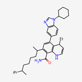 CCC1C=CNc2c(C(N)=O)c(C(C)CCCCC(C)C(C)C)cc(-c3ccc4c(c3)ncn4C3CCCCC3)c21